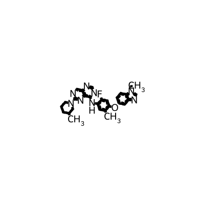 Cc1cc(Nc2ncnc3cnc(N4CCCC(C)C4)nc23)c(F)cc1Oc1ccc2c(c1)ncn2C